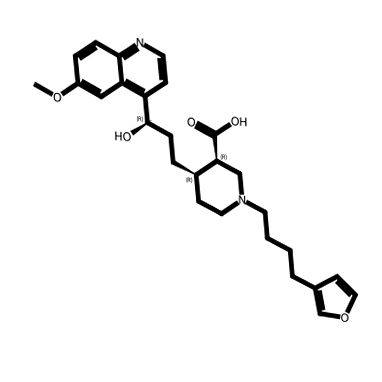 COc1ccc2nccc([C@H](O)CC[C@@H]3CCN(CCCCc4ccoc4)C[C@@H]3C(=O)O)c2c1